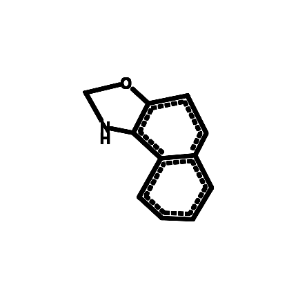 c1ccc2c3c(ccc2c1)OCN3